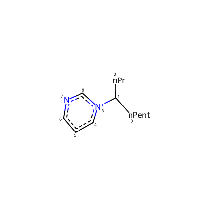 CCCCCC(CCC)[n+]1cccnc1